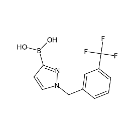 OB(O)c1ccn(Cc2cccc(C(F)(F)F)c2)n1